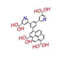 OC(O)c1cncc(-c2cc(-c3cncc(C(O)O)c3)cc(-c3cc(C(O)O)c4ccc5c(C(O)O)ccc6ccc3c4c65)c2)c1